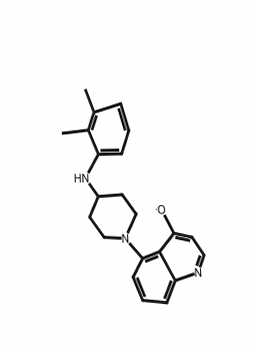 Cc1cccc(NC2CCN(c3cccc4nccc([O])c34)CC2)c1C